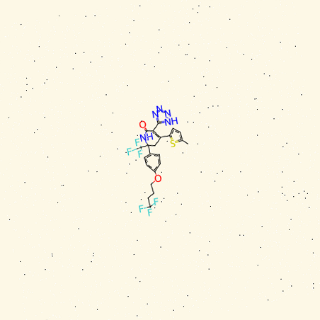 Cc1ccc(C2=C(c3nnn[nH]3)C(=O)NC(c3ccc(OCCCC(F)(F)F)cc3)(C(F)(F)F)C2)s1